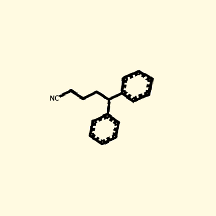 N#CCCCC(c1ccccc1)c1ccccc1